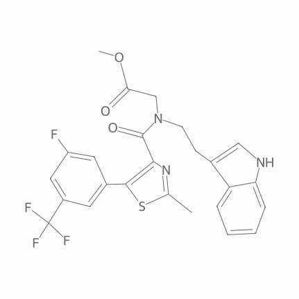 COC(=O)CN(CCc1c[nH]c2ccccc12)C(=O)c1nc(C)sc1-c1cc(F)cc(C(F)(F)F)c1